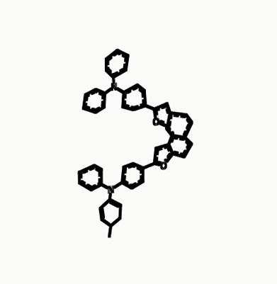 CC1C=CC(N(c2ccccc2)c2ccc(-c3cc4c(ccc5ccc6cc(-c7ccc(N(c8ccccc8)c8ccccc8)cc7)oc6c54)o3)cc2)=CC1